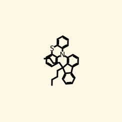 CCCCC1(CCCC)c2ccccc2-c2cccc(N3c4ccccc4Sc4ccccc43)c21